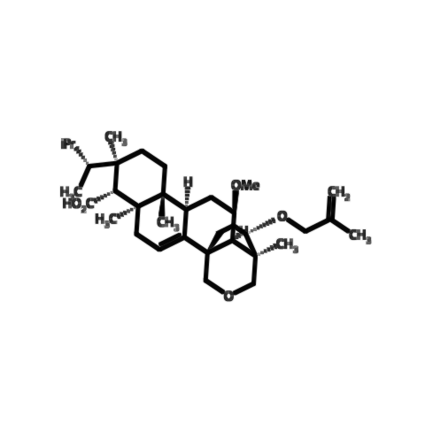 C=C(C)CO[C@H]1[C@H](OC)C[C@]23COC[C@@]1(C)[C@@H]2CC[C@H]1C3=CC[C@@]2(C)[C@H](C(=O)O)[C@@](C)([C@H](C)C(C)C)CC[C@]12C